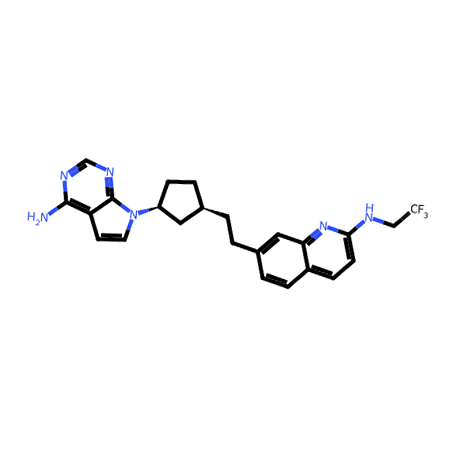 Nc1ncnc2c1ccn2[C@H]1CC[C@@H](CCc2ccc3ccc(NCC(F)(F)F)nc3c2)C1